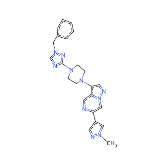 Cn1cc(-c2cn3ncc(N4CCN(c5ncn(Cc6ccccc6)n5)CC4)c3cn2)cn1